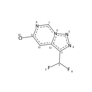 FC(F)c1nnn2cnc(Cl)cc12